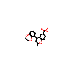 COC(=O)c1ccc2c(c1)C(c1cccc3c1OCCO3)=CC(C)O2